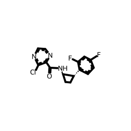 O=C(N[C@H]1CC[C@H]1c1ccc(F)cc1F)c1nccnc1Cl